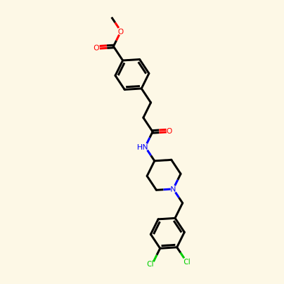 COC(=O)c1ccc(CCC(=O)NC2CCN(Cc3ccc(Cl)c(Cl)c3)CC2)cc1